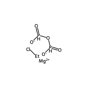 CCCl.O=[PH]([O-])O[PH](=O)[O-].[Mg+2]